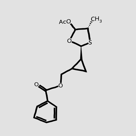 CC(=O)OC1O[C@H](C2CC2COC(=O)c2ccccc2)S[C@H]1C